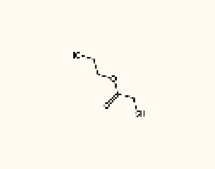 O=C(CS)OCCO